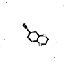 C#CC1CCC2OCCOC2C1